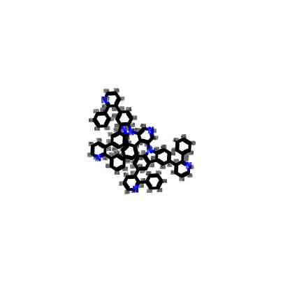 N#Cc1ccccc1-c1c(-n2c3ccc(-c4cccnc4-c4ccccc4)cc3c3cc(-c4cccnc4-c4ccccc4)ccc32)cncc1-n1c2ccc(-c3cccnc3-c3ccccc3)cc2c2cc(-c3cccnc3-c3ccccc3)ccc21